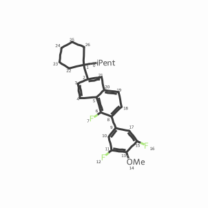 CCCC(C)C1(c2ccc3c(F)c(-c4cc(F)c(OC)c(F)c4)ccc3c2)CCCCC1